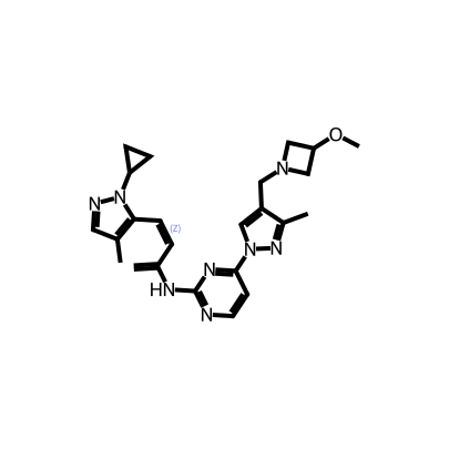 C=C(/C=C\c1c(C)cnn1C1CC1)Nc1nccc(-n2cc(CN3CC(OC)C3)c(C)n2)n1